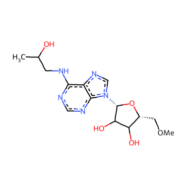 COC[C@H]1O[C@@H](n2cnc3c(NCC(C)O)ncnc32)C(O)C1O